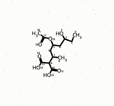 CCC(O)CC(CC(C)C(C(=O)O)C(=O)O)OC(C)=O